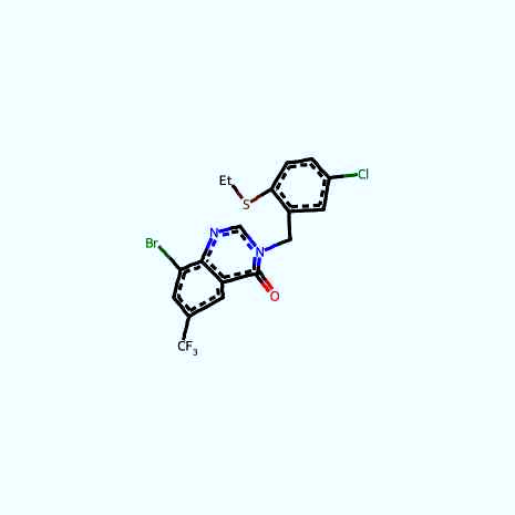 CCSc1ccc(Cl)cc1Cn1cnc2c(Br)cc(C(F)(F)F)cc2c1=O